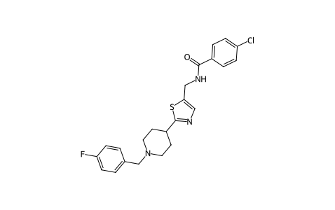 O=C(NCc1cnc(C2CCN(Cc3ccc(F)cc3)CC2)s1)c1ccc(Cl)cc1